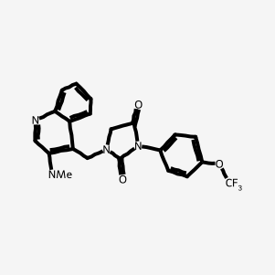 CNc1cnc2ccccc2c1CN1CC(=O)N(c2ccc(OC(F)(F)F)cc2)C1=O